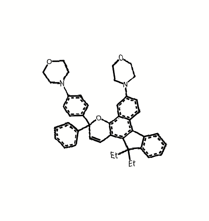 CCC1(CC)c2ccccc2-c2c1c1c(c3cc(N4CCOCC4)ccc23)OC(c2ccccc2)(c2ccc(N3CCOCC3)cc2)C=C1